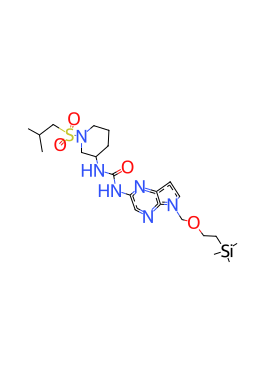 CC(C)CS(=O)(=O)N1CCCC(NC(=O)Nc2cnc3c(ccn3COCC[Si](C)(C)C)n2)C1